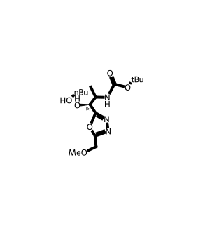 CCCCO.COCc1nnc([C@@H](O)C(C)NC(=O)OC(C)(C)C)o1